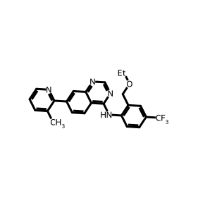 CCOCc1cc(C(F)(F)F)ccc1Nc1ncnc2cc(-c3ncccc3C)ccc12